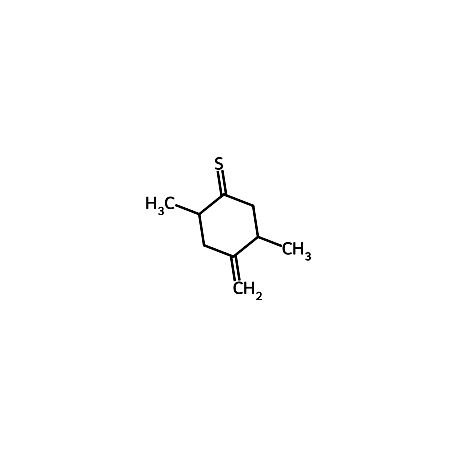 C=C1CC(C)C(=S)CC1C